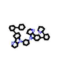 c1ccc(-c2ccccc2-c2ccc3c(c2)c2ncccc2n3-c2cccc(-n3c4ccc(-c5ccccc5-c5ccccn5)cc4c4ncccc43)c2)cc1